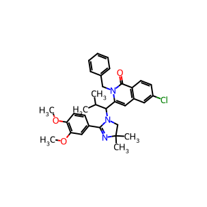 COc1ccc(C2=NC(C)(C)CN2C(c2cc3cc(Cl)ccc3c(=O)n2Cc2ccccc2)C(C)C)cc1OC